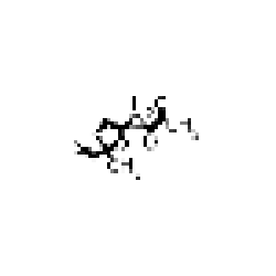 C=C(C)C(=O)OC1CSC(C)(C=S)O1